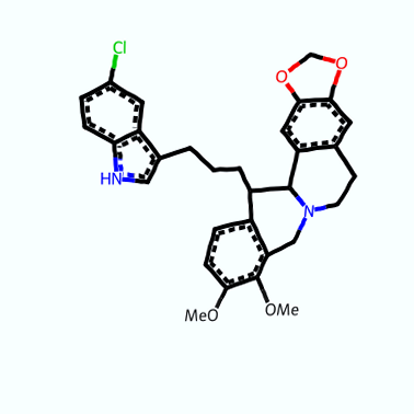 COc1ccc2c(c1OC)CN1CCc3cc4c(cc3C1C2CCCc1c[nH]c2ccc(Cl)cc12)OCO4